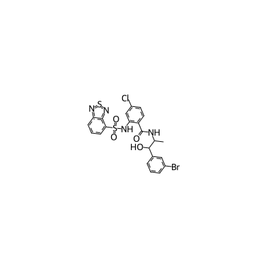 CC(NC(=O)c1ccc(Cl)cc1NS(=O)(=O)c1cccc2nsnc12)C(O)c1cccc(Br)c1